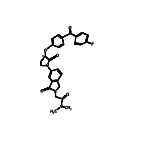 CN(C)C(=O)CN1Cc2ccc(N3CC[C@@H](Oc4ccc(C(=O)c5ccc(F)cc5)cc4)C3=O)cc2C1=O